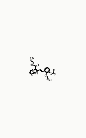 CC(C)(C)COc1c(C=Cc2nc3sccn3c2C(=O)NCCC#N)cccc1OC(F)F